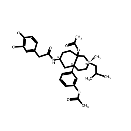 CC(=O)Oc1cccc([C@]23CC[N@@+](C)(CC(C)C)CC2(OC(C)=O)CC[C@H](NC(=O)Cc2ccc(Cl)c(Cl)c2)C3)c1